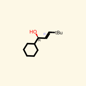 CC(C)(C)/C=C/[C@H](O)C1CCCCC1